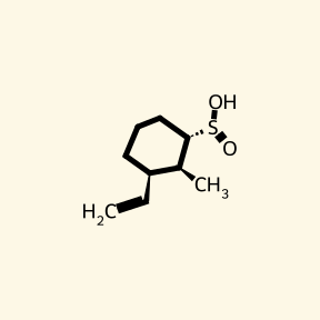 C=C[C@H]1CCC[C@H](S(=O)O)[C@H]1C